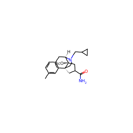 CC(=O)O[C@@]12CC(C(N)=O)C[C@@]13CCN(CC1CC1)[C@@H]2Cc1ccc(C)cc13